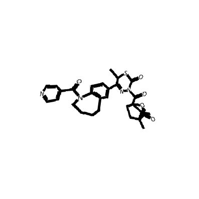 CC1SC(=O)N(C(=O)C23CCC(C)(C(=O)O2)C3(C)C)N=C1c1ccc2c(c1)CCCCN2C(=O)c1ccncc1